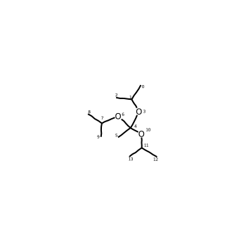 CC(C)OC(C)(OC(C)C)OC(C)C